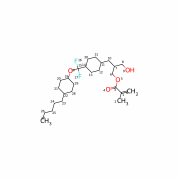 C=C(C)C(=O)OCC(CO)CC1CCC(C(F)(F)OC2CCC(CCCCC)CC2)CC1